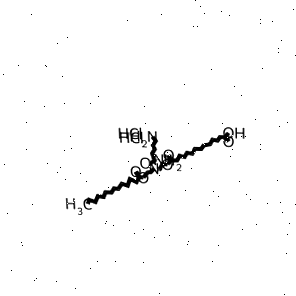 CCCCCCCCCCCCCC(=O)OCCN(CCOC(=O)CCCCCCCCCCCCC(=O)O)C(=O)[C@@H](N)CCCCN.Cl.Cl